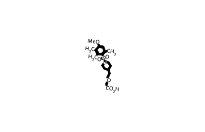 COc1cc(C)c(S(=O)(=O)N2CCC(CCOCC(=O)O)CC2)c(C)c1C